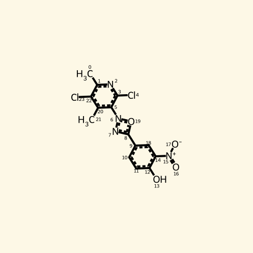 Cc1nc(Cl)c(-n2nc(-c3ccc(O)c([N+](=O)[O-])c3)o2)c(C)c1Cl